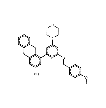 COc1ccc(COc2cc(N3CCOCC3)cc(-c3cc(O)cc4c3Cc3ccccc3S4)n2)cc1